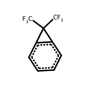 FC(F)(F)C1(C(F)(F)F)c2ccccc21